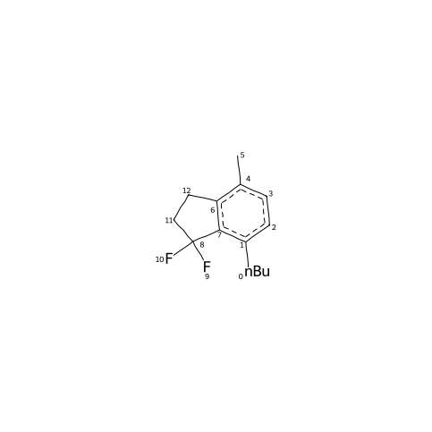 CCCCc1ccc(C)c2c1C(F)(F)CC2